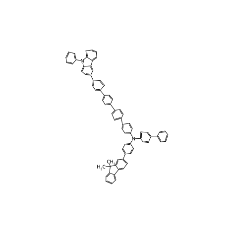 CC1(C)c2ccccc2-c2ccc(-c3ccc(N(c4ccc(-c5ccccc5)cc4)c4ccc(-c5ccc(-c6ccc(-c7ccc(-c8ccc9c(c8)c8ccccc8n9-c8ccccc8)cc7)cc6)cc5)cc4)cc3)cc21